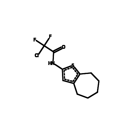 O=C(Nc1cc2c(s1)CCCCC2)C(F)(F)Cl